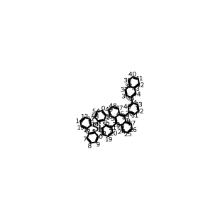 c1ccc([Si](c2ccccc2)(c2ccccc2)c2cccc(-c3c4ccccc4c(-c4cccc(-c5ccc6ccccc6c5)c4)c4ccccc34)c2)cc1